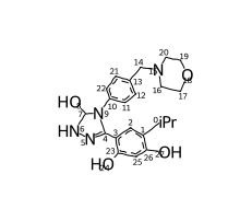 CC(C)c1cc(C2=NNC(O)N2c2ccc(CN3CCOCC3)cc2)c(O)cc1O